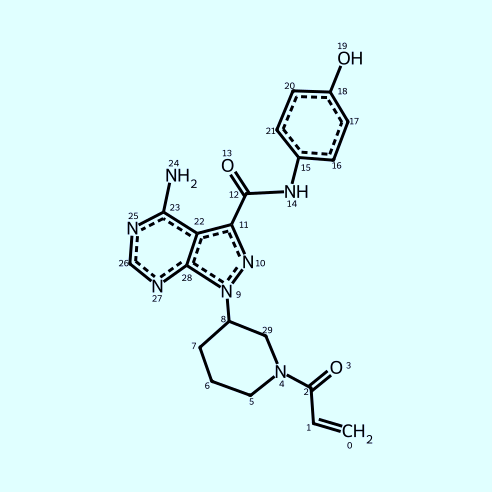 C=CC(=O)N1CCCC(n2nc(C(=O)Nc3ccc(O)cc3)c3c(N)ncnc32)C1